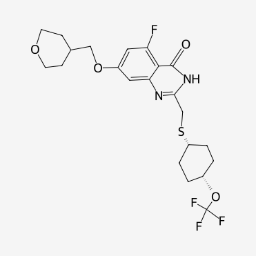 O=c1[nH]c(CS[C@H]2CC[C@@H](OC(F)(F)F)CC2)nc2cc(OCC3CCOCC3)cc(F)c12